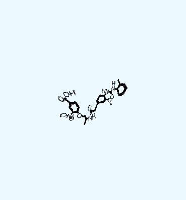 COc1cc(CC(=O)NC(C)COc2ccc(C(=O)O)cc2[N+](=O)[O-])ccc1NC(=O)Nc1ccccc1C